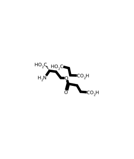 N[C@@H](CCOC(=O)CCC(=O)O)C(=O)O.O=C(O)CCC(=O)O